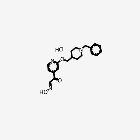 Cl.O=C(/C=N/O)c1ccnc(OCC2CCN(Cc3ccccc3)CC2)c1